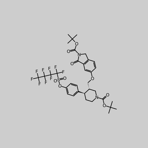 CC(C)(C)OC(=O)N1CC[C@@H](c2ccc(OS(=O)(=O)C(F)(F)C(F)(F)C(F)(F)C(F)(F)F)cc2)[C@H](COc2ccc3c(c2)C(=O)N(C(=O)OC(C)(C)C)C3)C1